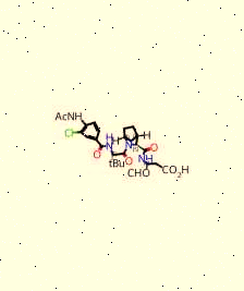 CC(=O)Nc1ccc(C(=O)N[C@H](C(=O)N2[C@@H]3CC[C@@H](C3)[C@H]2C(=O)N[C@H](C=O)CC(=O)O)C(C)(C)C)cc1Cl